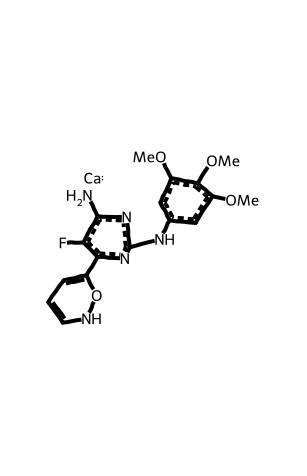 COc1cc(Nc2nc(N)c(F)c(C3=CC=CNO3)n2)cc(OC)c1OC.[Ca]